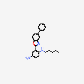 CCCCCNc1ccc(N)cc1-c1nc2cc(-c3ccccc3)ccc2o1